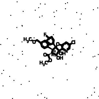 COCc1ccc([C@@H]2[C@@H](C(=O)OC)[C@@H](O)[C@@]3(O)c4ncc(Cl)cc4O[C@@]23c2ccc(F)cc2)cc1